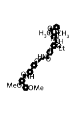 CCOc1cc(N2CCC(C(=O)NCCCOc3ccc(-c4ccc(NC(=O)c5ccc(OC)c(-c6cccc(OC)c6)c5)cc4)cc3)CC2)ccc1Nc1ncc2c(n1)N(C)c1ccccc1C(=O)N2C